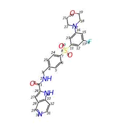 O=C(NCc1ccc(S(=O)(=O)c2cc(F)cc(N3CCOCC3)c2)cc1)c1cc2cnccc2[nH]1